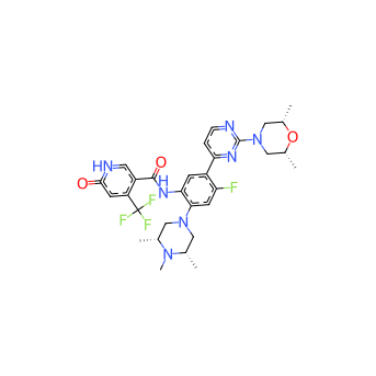 C[C@@H]1CN(c2nccc(-c3cc(NC(=O)c4c[nH]c(=O)cc4C(F)(F)F)c(N4C[C@@H](C)N(C)[C@@H](C)C4)cc3F)n2)C[C@H](C)O1